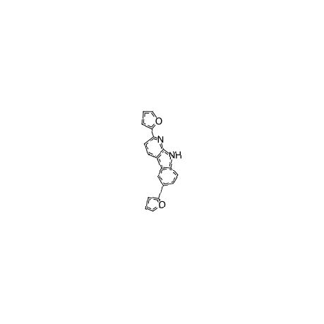 c1coc(-c2ccc3[nH]c4nc(-c5ccco5)ccc4c3c2)c1